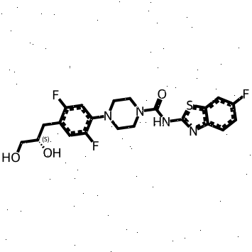 O=C(Nc1nc2ccc(F)cc2s1)N1CCN(c2cc(F)c(C[C@H](O)CO)cc2F)CC1